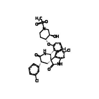 CS(=O)(=O)N1CC[C@@H](Oc2ccc(I)cc2[C@H]2NC(=O)[C@@H](c3cccc(Cl)c3)C[C@]23C(=O)Nc2cc(Cl)ccc23)[C@H](O)C1